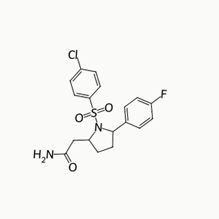 NC(=O)CC1CCC(c2ccc(F)cc2)N1S(=O)(=O)c1ccc(Cl)cc1